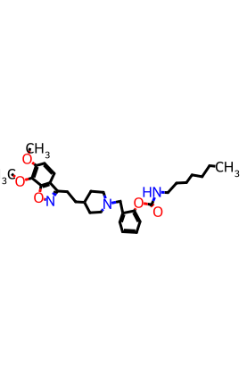 CCCCCCCNC(=O)Oc1ccccc1CN1CCC(CCc2noc3c(OC)c(OC)ccc23)CC1